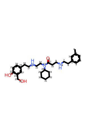 Cc1cccc(CCNCCC(=O)N(CCNCCc2ccc(O)c(CO)c2)C2CCCCC2)c1